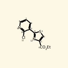 CCOC(=O)c1csc(-c2cccnc2Cl)n1